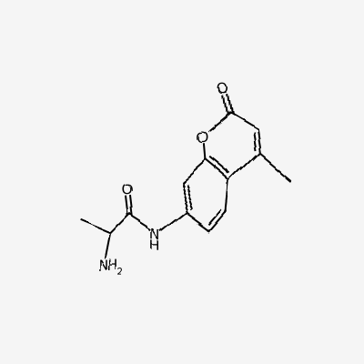 Cc1cc(=O)oc2cc(NC(=O)C(C)N)ccc12